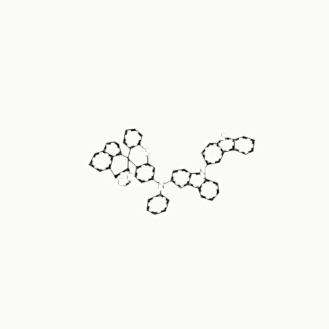 c1ccc(N(c2ccc3c(c2)Sc2ccccc2C32c3ccccc3-c3cccc4cccc2c34)c2ccc3c(c2)c2ccccc2n3-c2ccc3sc4ccccc4c3c2)cc1